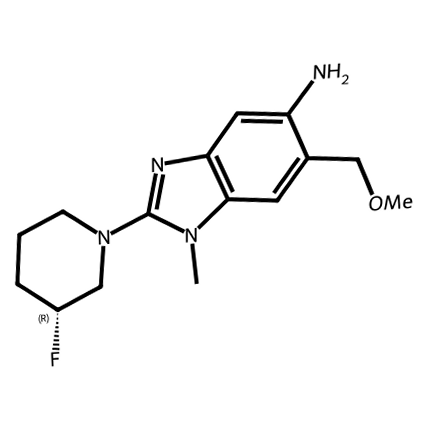 COCc1cc2c(cc1N)nc(N1CCC[C@@H](F)C1)n2C